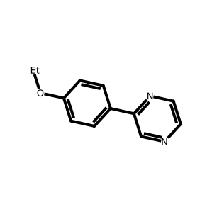 CCOc1ccc(-c2cnccn2)cc1